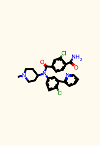 CN1CCC(N(C(=O)c2ccc(C(N)=O)c(Cl)c2)c2ccc(Cl)c(-c3ccccn3)c2)CC1